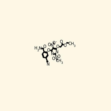 CCOC(=O)COc1nc(S(C)(=O)=O)nc(Oc2cc(C#N)ccc2C(N)=O)c1[N+](=O)[O-]